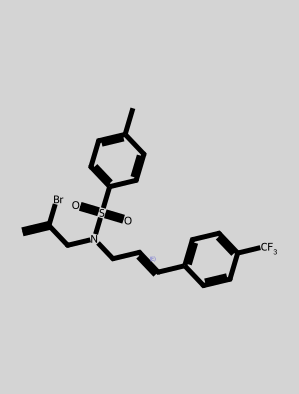 C=C(Br)CN(C/C=C/c1ccc(C(F)(F)F)cc1)S(=O)(=O)c1ccc(C)cc1